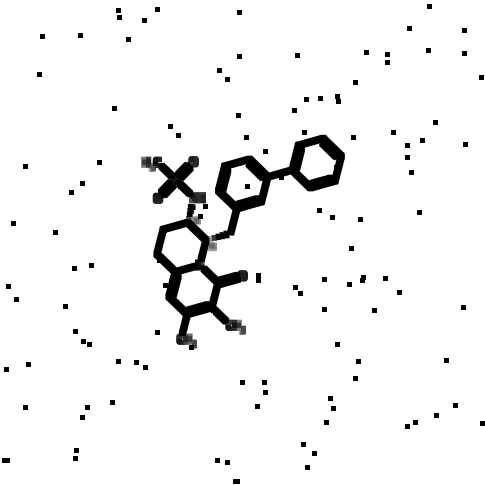 Cc1cc2n(c(=O)c1C)[C@@H](Cc1cccc(-c3ccccc3)c1)[C@@H](NS(C)(=O)=O)CC2